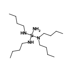 CCCCN[Si](N)(NCCCC)N(CCCC)CCCC